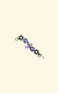 O=C(CCN1CCN(c2cccc(Cl)c2)CC1)NC1CCN(c2ccc(SC(F)(F)F)cc2)CC1